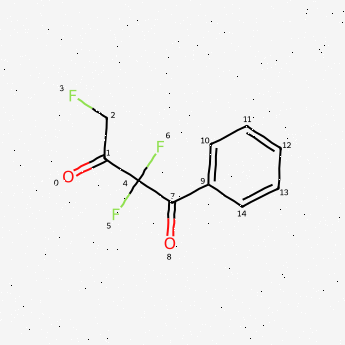 O=C(CF)C(F)(F)C(=O)c1ccccc1